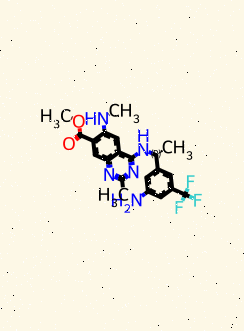 CNc1cc2c(N[C@H](C)c3cc(N)cc(C(F)(F)F)c3)nc(C)nc2cc1C(=O)OC